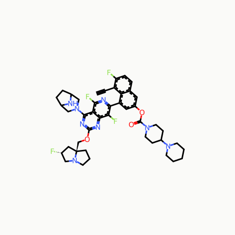 C#Cc1c(F)ccc2cc(OC(=O)N3CCC(N4CCCCC4)CC3)cc(-c3nc(F)c4c(N5CC6CCC(C5)N6)nc(OC[C@@]56CCCN5C[C@H](F)C6)nc4c3F)c12